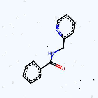 O=C(NCc1ccccn1)c1ccccc1